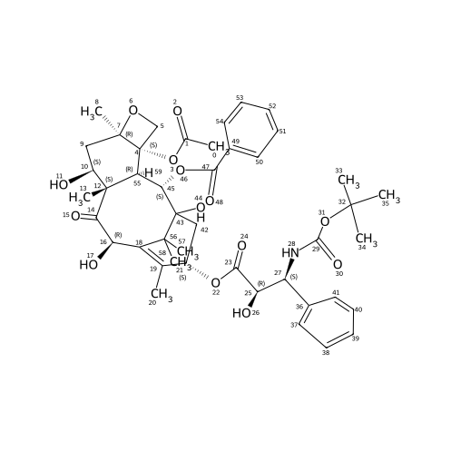 CC(=O)O[C@@]12CO[C@]1(C)C[C@H](O)[C@@]1(C)C(=O)[C@H](O)C3=C(C)[C@@H](OC(=O)[C@H](O)[C@@H](NC(=O)OC(C)(C)C)c4ccccc4)CC(O)([C@@H](OC(=O)c4ccccc4)[C@@H]12)C3(C)C